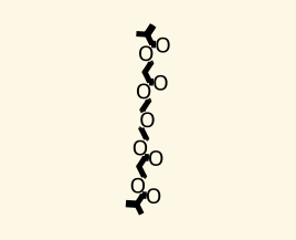 C=C(C)C(=O)OCCC(=O)OCCOCCOC(=O)CCOC(=O)C(=C)C